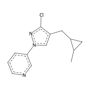 CC1CC1Cc1cn(-c2cccnc2)nc1Cl